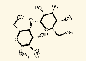 N[C@@H]1O[C@H](CO)[C@@H](O[C@H]2O[C@H](CO)[C@@H](O)[C@H](O)[C@H]2O)[C@H](O)[C@H]1O